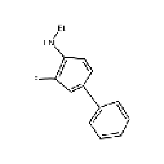 CCNc1ccc(-c2ccccc2)cc1F